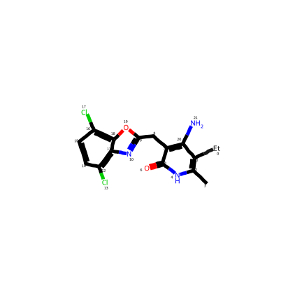 CCc1c(C)[nH]c(=O)c(Cc2nc3c(Cl)ccc(Cl)c3o2)c1N